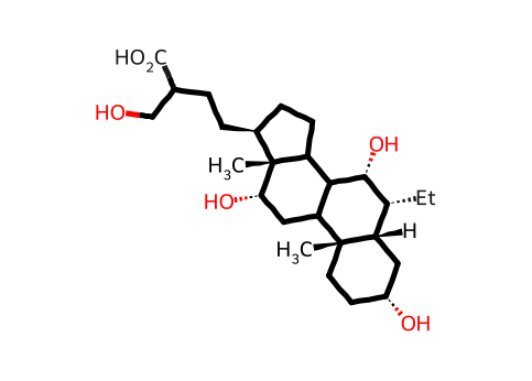 CC[C@H]1[C@@H](O)C2C3CC[C@H](CCC(CO)C(=O)O)[C@@]3(C)[C@@H](O)CC2[C@@]2(C)CC[C@@H](O)C[C@@H]12